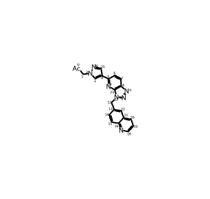 CC(=O)Cn1cc(-c2ccc3nnn(Cc4ccc5ncccc5c4)c3n2)cn1